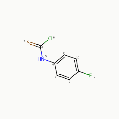 Fc1ccc(NC(=S)Cl)cc1